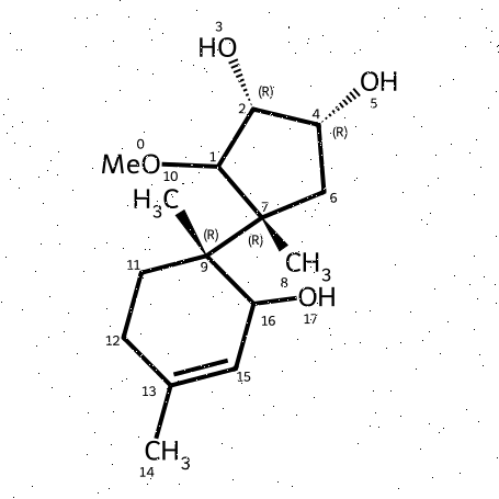 COC1[C@H](O)[C@H](O)C[C@]1(C)[C@@]1(C)CCC(C)=CC1O